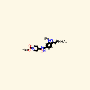 CC(=O)NCCc1nn(C(C)C)c2cc(-c3noc(C4CCN(C(=O)OC(C)(C)C)CC4)n3)ccc12